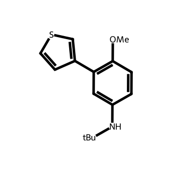 COc1ccc(NC(C)(C)C)cc1-c1ccsc1